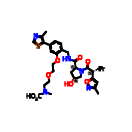 Cc1cc([C@H](C(=O)N2C[C@H](O)C[C@H]2C(=O)NCc2ccc(-c3scnc3C)cc2OCCOCCN(C)C(=O)O)C(C)C)on1